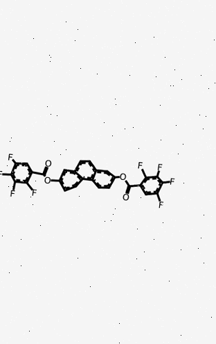 O=C(Oc1ccc2c(ccc3cc(OC(=O)c4cc(F)c(F)c(F)c4F)ccc32)c1)c1cc(F)c(F)c(F)c1F